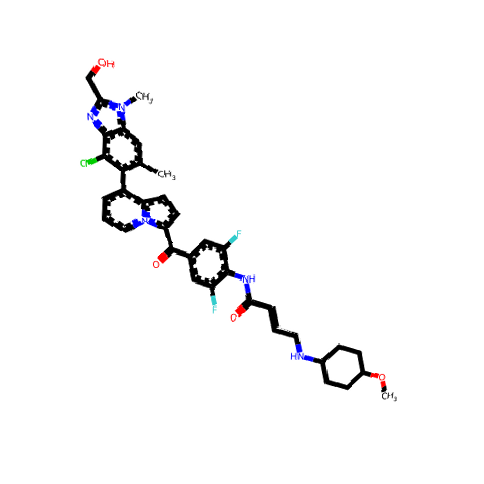 COC1CCC(NC/C=C/C(=O)Nc2c(F)cc(C(=O)c3ccc4c(-c5c(C)cc6c(nc(CO)n6C)c5Cl)cccn34)cc2F)CC1